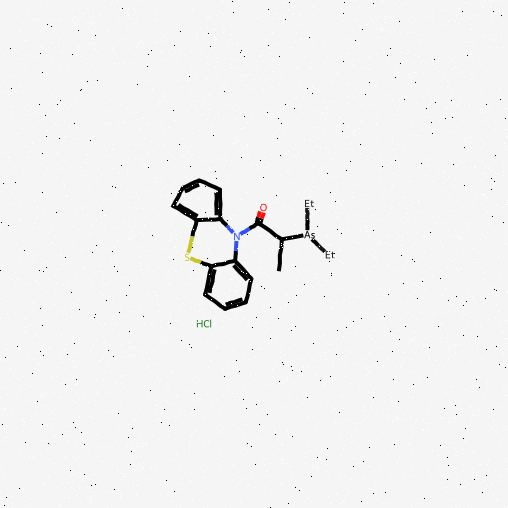 CC[As](CC)C(C)C(=O)N1c2ccccc2Sc2ccccc21.Cl